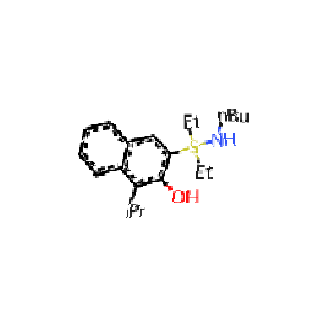 CCCCNS(CC)(CC)c1cc2ccccc2c(C(C)C)c1O